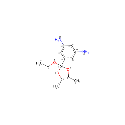 CCO[Si](OCC)(OCC)c1cc(N)cc(N)c1